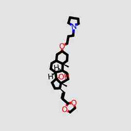 C[C@]12CCC(OCCCN3CCCC3)CC1CC[C@@H]1[C@@H]2CC[C@]2(C)[C@@H](/C=C/C3OCCO3)CC[C@@]12O